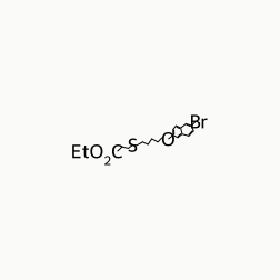 CCOC(=O)CCSCCCCCCOc1ccc2cc(Br)ccc2c1